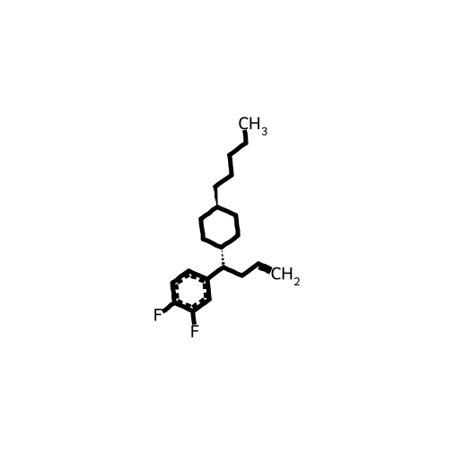 C=CCC(c1ccc(F)c(F)c1)[C@H]1CC[C@H](CCCCC)CC1